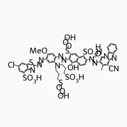 COc1cc(N=Nc2c(SOOO)cc3c(S(=O)(=O)O)c(N=Nc4c(C)c(C#N)c5nc6ccccc6n5c4O)ccc3c2O)c(N(CCCSOOO)CCCS(=O)(=O)O)cc1N=Nc1nc2c(S(=O)(=O)O)cc(Cl)cc2s1